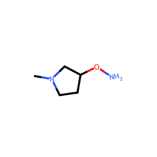 CN1CCC(ON)C1